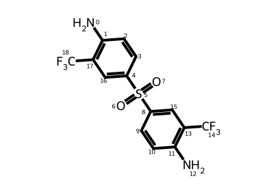 Nc1ccc(S(=O)(=O)c2ccc(N)c(C(F)(F)F)c2)cc1C(F)(F)F